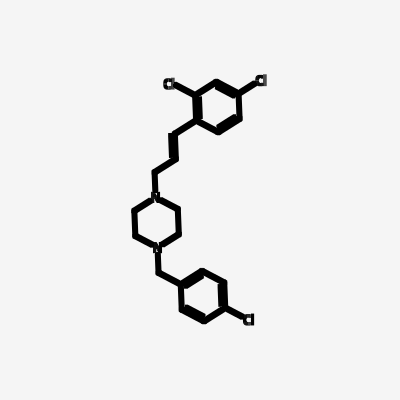 Clc1ccc(CN2CCN(CC=Cc3ccc(Cl)cc3Cl)CC2)cc1